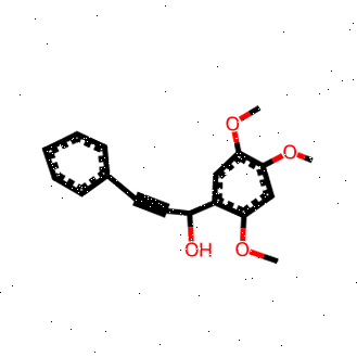 COc1cc(OC)c(C(O)C#Cc2ccccc2)cc1OC